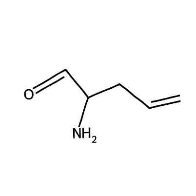 C=CCC(N)C=O